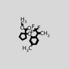 C=C(c1ccc(C)cc1OC1(C(=O)OC)CCCC1)C(F)(F)F